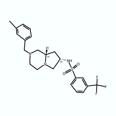 Cc1cccc(CN2CCN3C[C@@H](NS(=O)(=O)c4cccc(C(F)(F)F)c4)C[C@H]3C2)c1